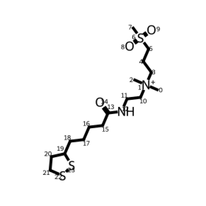 C[N+](C)(CCCS(C)(=O)=O)CCNC(=O)CCCCC1CCSS1